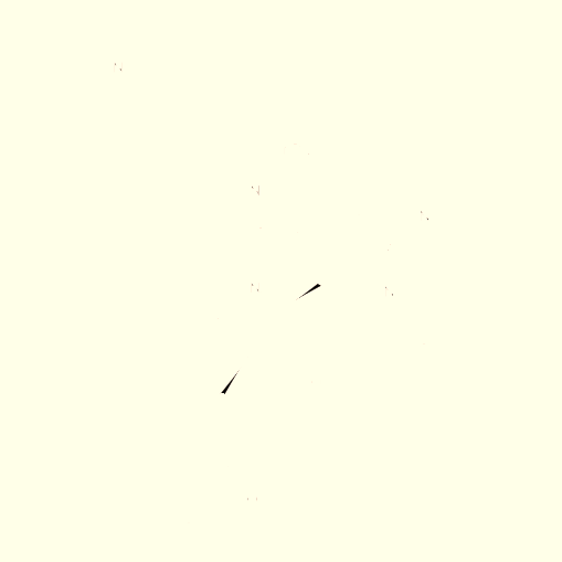 CCCCN(CCCCN(C)C)C(=O)CN1C[C@H](c2ccc3c(c2)OCO3)[C@@H](C(=O)O)[C@@H]1CCN1C(=O)CCN(C)C1=O